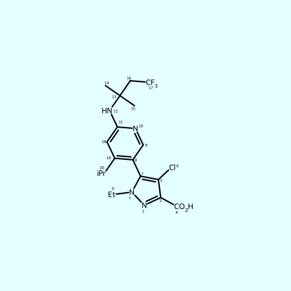 CCn1nc(C(=O)O)c(Cl)c1-c1cnc(NC(C)(C)CC(F)(F)F)cc1C(C)C